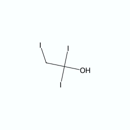 OC(I)(I)CI